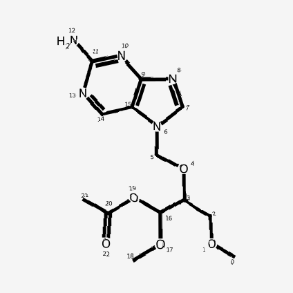 COCC(OCn1cnc2nc(N)ncc21)C(OC)OC(C)=O